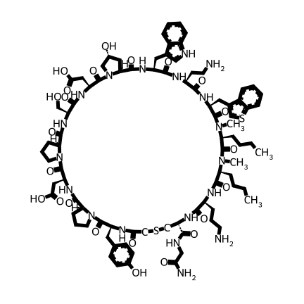 CCCC[C@H]1C(=O)N(C)[C@@H](CCCC)C(=O)N[C@@H](CCCN)C(=O)N[C@H](C(=O)NCC(N)=O)CSCC(=O)N[C@@H](Cc2ccc(O)cc2)C(=O)N2CCC[C@H]2C(=O)N[C@@H](CC(=O)O)C(=O)N2CCC[C@H]2C(=O)N[C@@H](CO)C(=O)N[C@@H](CC(=O)O)C(=O)N2C[C@H](O)C[C@H]2C(=O)N[C@@H](Cc2c[nH]c3ccccc23)C(=O)N[C@@H](CCN)C(=O)N[C@@H](Cc2csc3ccccc23)C(=O)N1C